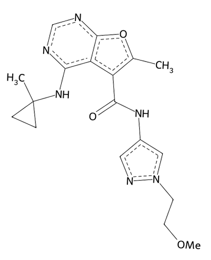 COCCn1cc(NC(=O)c2c(C)oc3ncnc(NC4(C)CC4)c23)cn1